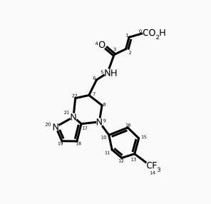 O=C(O)/C=C/C(=O)NCC1CN(c2ccc(C(F)(F)F)cc2)c2ccnn2C1